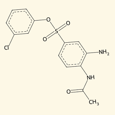 CC(=O)Nc1ccc(S(=O)(=O)Oc2cccc(Cl)c2)cc1N